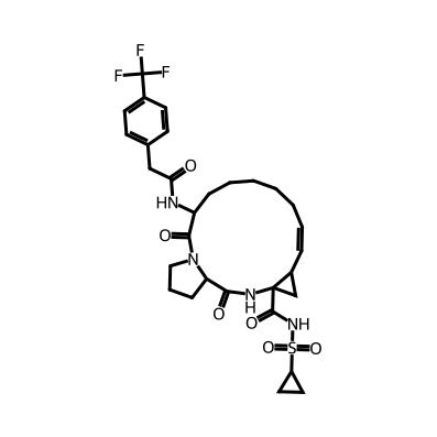 O=C(Cc1ccc(C(F)(F)F)cc1)NC1CCCCCC=CC2CC2(C(=O)NS(=O)(=O)C2CC2)NC(=O)C2CCCN2C1=O